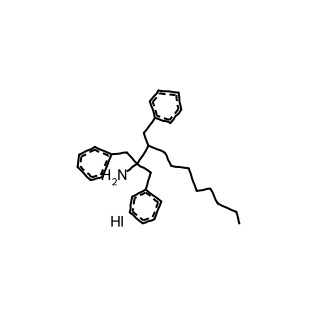 CCCCCCCCC(Cc1ccccc1)C(N)(Cc1ccccc1)Cc1ccccc1.I